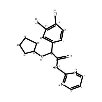 O=C(Nc1ncccn1)C(SC1CCCC1)c1ccc(Cl)c(Cl)c1